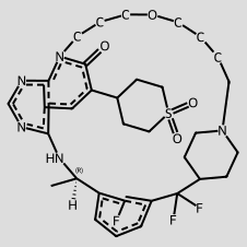 C[C@H]1Nc2ncnc3c2cc(C2CCS(=O)(=O)CC2)c(=O)n3CCCOCCCCN2CCC(CC2)C(F)(F)c2cccc1c2F